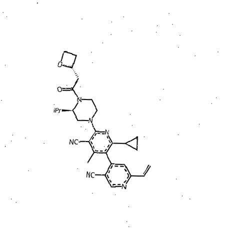 C=Cc1cc(-c2c(C3CC3)nc(N3CCN(C(=O)C[C@H]4CCO4)[C@H](C(C)C)C3)c(C#N)c2C)c(C#N)cn1